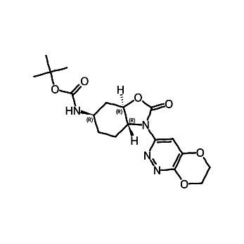 CC(C)(C)OC(=O)N[C@@H]1CC[C@@H]2[C@@H](C1)OC(=O)N2c1cc2c(nn1)OCCO2